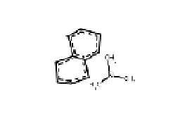 CN(C)C.[c]1cccc2ccccc12